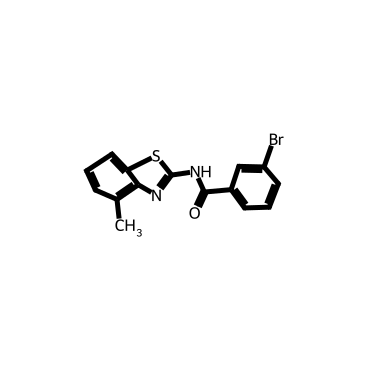 Cc1cccc2sc(NC(=O)c3cccc(Br)c3)nc12